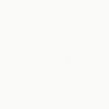 C=CC[O].CCCC[SiH]1CCCCO1